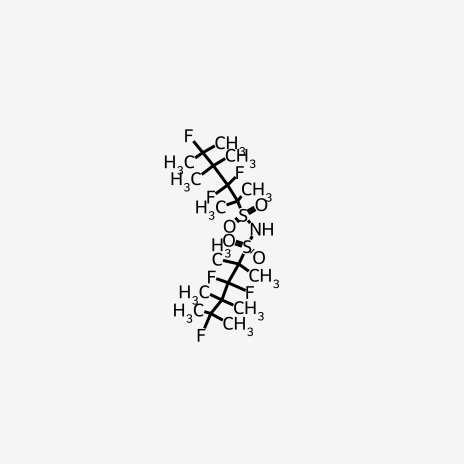 CC(C)(F)C(C)(C)C(F)(F)C(C)(C)S(=O)(=O)NS(=O)(=O)C(C)(C)C(F)(F)C(C)(C)C(C)(C)F